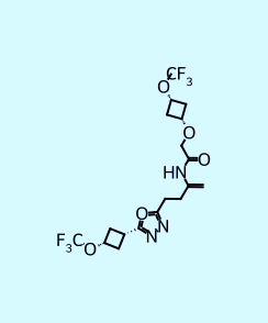 C=C(CCc1nnc([C@H]2C[C@@H](OC(F)(F)F)C2)o1)NC(=O)CO[C@H]1C[C@@H](OC(F)(F)F)C1